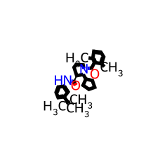 Cc1cccc(C)c1C(=O)N1CCC[C@H](C(=O)Nc2cccc(C(C)(C)C)c2)C1C1CCCC1